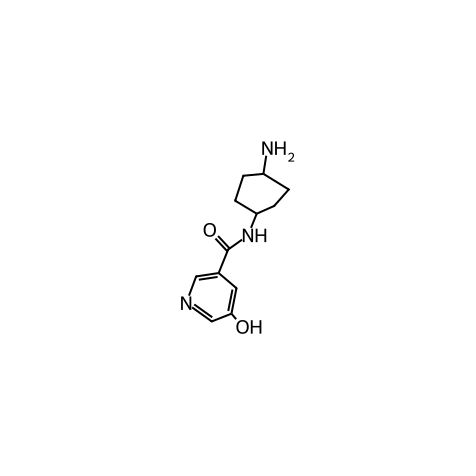 NC1CCC(NC(=O)c2cncc(O)c2)CC1